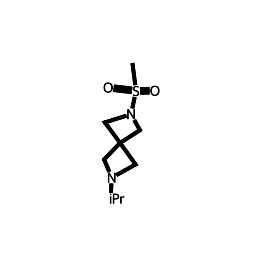 CC(C)N1CC2(C1)CN(S(C)(=O)=O)C2